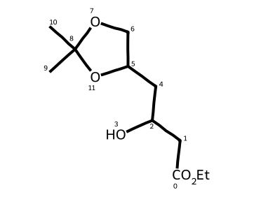 CCOC(=O)CC(O)CC1COC(C)(C)O1